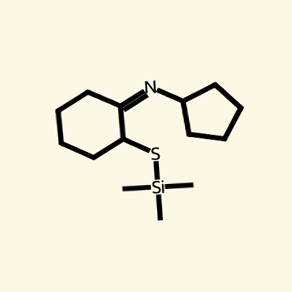 C[Si](C)(C)SC1CCCCC1=NC1CCCC1